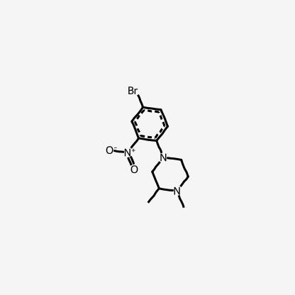 CC1CN(c2ccc(Br)cc2[N+](=O)[O-])CCN1C